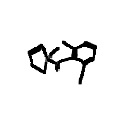 Cc1cccc(C)c1N[N+]1(C)C=CCC1